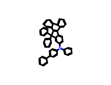 c1ccc(-c2ccc(N(c3ccccc3)c3ccc4c(c3)C(c3ccccc3)(c3ccccc3)c3c-4c4ccccc4c4ccccc34)cc2)cc1